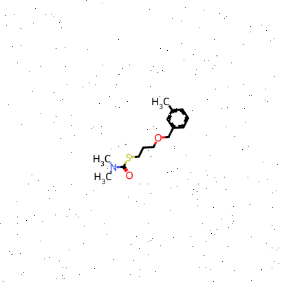 Cc1cccc(COCCCSC(=O)N(C)C)c1